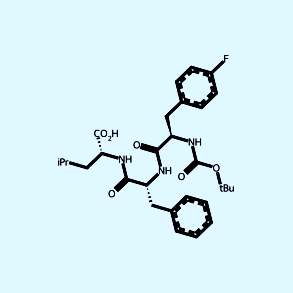 CC(C)C[C@@H](NC(=O)[C@@H](Cc1ccccc1)NC(=O)[C@@H](Cc1ccc(F)cc1)NC(=O)OC(C)(C)C)C(=O)O